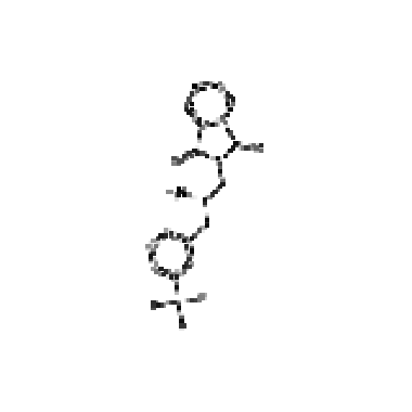 N[C@@H](Cc1cccc(C(F)(F)F)c1)CN1C(=O)c2ccccc2C1=O